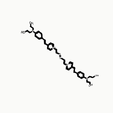 OCCN(CCO)C1=CCC(/C=C/c2cc[n+](CCSSCC[n+]3ccc(CCc4ccc(N(CCO)CCO)cc4)cc3)cc2)C=C1